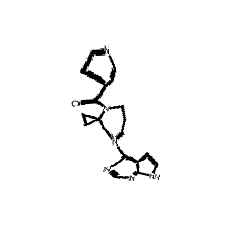 O=C(c1ccncc1)N1CCCN(c2ncnc3[nH]ccc23)CC12CC2